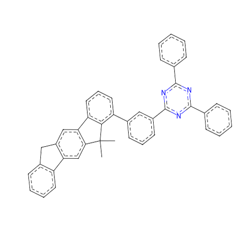 CC1(C)c2cc3c(cc2-c2cccc(-c4cccc(-c5nc(-c6ccccc6)nc(-c6ccccc6)n5)c4)c21)Cc1ccccc1-3